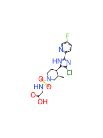 C[C@H]1CN(S(=O)(=O)NCC(=O)O)CC[C@H]1c1[nH]c(-c2ccc(F)cn2)nc1Cl